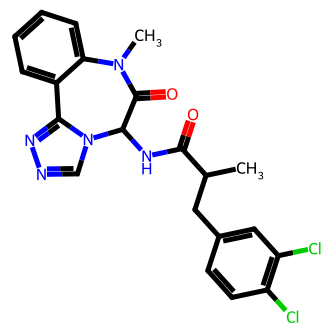 CC(Cc1ccc(Cl)c(Cl)c1)C(=O)NC1C(=O)N(C)c2ccccc2-c2nncn21